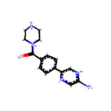 Nc1cnc(-c2ccc(C(=O)N3CCNCC3)cc2)cn1